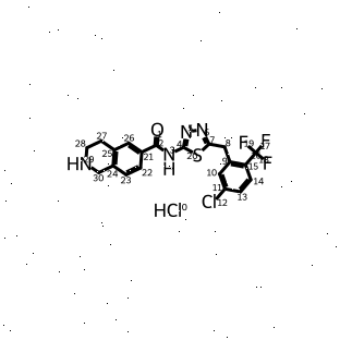 Cl.O=C(Nc1nnc(Cc2cc(Cl)ccc2C(F)(F)F)s1)c1ccc2c(c1)CCNC2